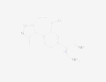 Cc1noc2c1-c1ccc(/C(C=N)=C/N)cc1C(=O)CC2